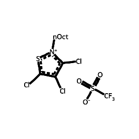 CCCCCCCC[n+]1sc(Cl)c(Cl)c1Cl.O=S(=O)([O-])C(F)(F)F